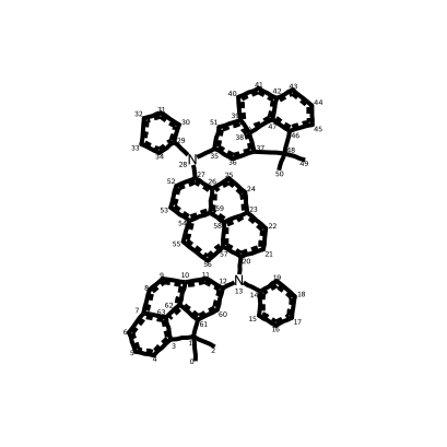 CC1(C)c2cccc3ccc4cc(N(c5ccccc5)c5ccc6ccc7c(N(c8ccccc8)c8cc9c%10c(ccc%11cccc(c%11%10)C9(C)C)c8)ccc8ccc5c6c87)cc1c4c23